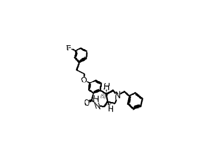 O=C1NC[C@H]2CN(Cc3ccccc3)C[C@@H]2c2ccc(OCCc3cccc(F)c3)cc21